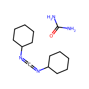 C(=NC1CCCCC1)=NC1CCCCC1.NC(N)=O